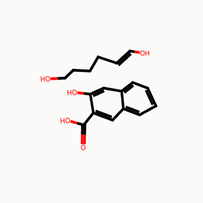 O=C(O)c1cc2ccccc2cc1O.OC=CCCCCO